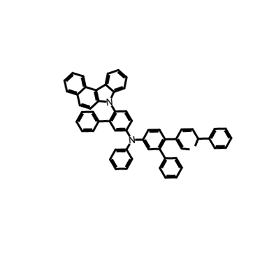 C/C=C(\C=C/C(C)c1ccccc1)c1ccc(N(c2ccccc2)c2ccc(-n3c4ccccc4c4c5ccccc5ccc43)c(-c3ccccc3)c2)cc1-c1ccccc1